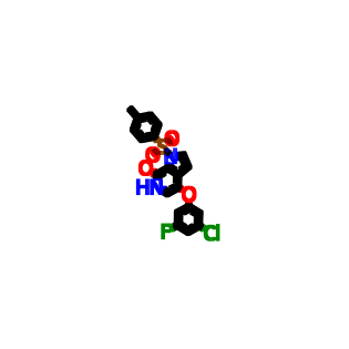 Cc1ccc(S(=O)(=O)n2ccc3c(Oc4cc(F)cc(Cl)c4)c[nH]c(=O)c32)cc1